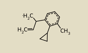 [CH2]C(C=C)c1cccc(C)c1C1CC1